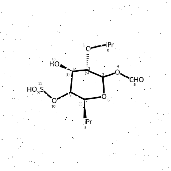 CC(C)O[C@@H]1C(OC=O)O[C@@H](C(C)C)C(OS(=O)(=O)O)[C@H]1O